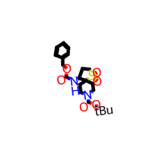 CC(C)(C)OC(=O)N1CCC2(CC1)C(NC(=O)OCc1ccccc1)CCS2(=O)=O